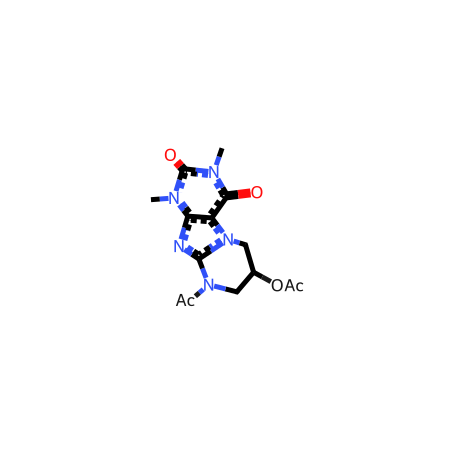 CC(=O)OC1CN(C(C)=O)c2nc3c(c(=O)n(C)c(=O)n3C)n2C1